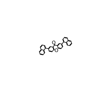 O=c1c2cc(-c3cccc4ccccc34)ccc2oc2ccc(-c3cccc4ccccc34)cc12